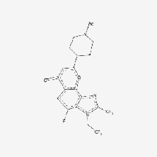 CC(=O)N1CCC(c2cc(=O)c3cc(F)c4c(nc(C(F)(F)F)n4CC(F)(F)F)c3o2)CC1